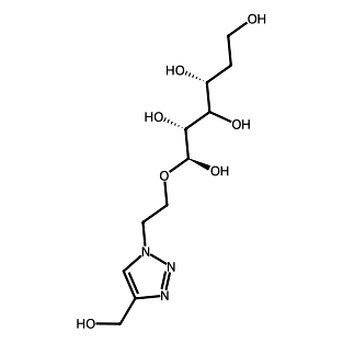 OCC[C@@H](O)C(O)[C@@H](O)[C@@H](O)OCCn1cc(CO)nn1